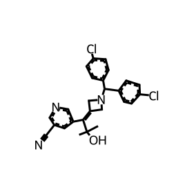 CC(C)(O)C(=C1CN(C(c2ccc(Cl)cc2)c2ccc(Cl)cc2)C1)c1cncc(C#N)c1